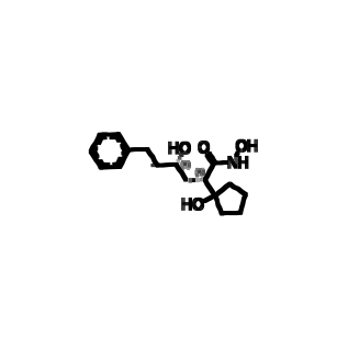 O=C(NO)[C@@H](C[C@@H](O)[CH]Cc1ccccc1)C1(O)CCCC1